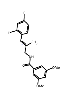 COc1cc(OC)cc(C(=O)NC/C(C)=C/c2ccc(F)cc2F)c1